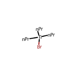 CC[CH2][Ti]([Br])([CH2]CC)[CH2]CC